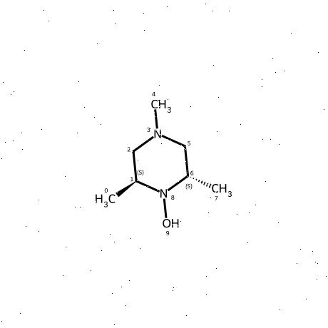 C[C@H]1CN(C)C[C@H](C)N1O